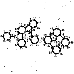 c1ccc(-n2c3ccccc3c3c2ccc2c4ccccc4n(-c4cccc(-c5ccc6c(c5)-c5ccccc5[Si]65c6ccccc6-c6ccccc65)c4)c23)cc1